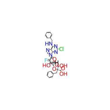 O=C(O)C(Cc1ccccc1)(OC1[C@H]2O[C@@H](n3cnc4c(NCc5ccccc5)nc(Cl)nc43)[C@@H](F)[C@@]12O)C(=O)O